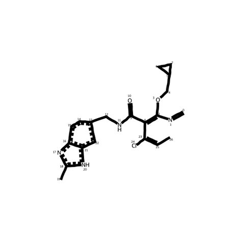 C=N/C(OCC1CC1)=C(C(=O)NCc1ccc2nc(C)[nH]c2c1)\C(Cl)=C/C